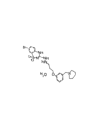 O.O=S1(=O)N=C(NNCCCOc2cccc(CN3CCCCC3)c2)Nc2ccc(Br)cc21